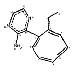 CCC1=C/C=C\C=C/C=C\1c1nccnc1N